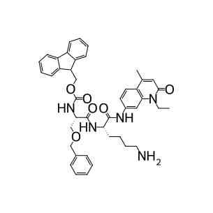 CCn1c(=O)cc(C)c2ccc(NC(=O)[C@H](CCCCN)NC(=O)[C@H](COCc3ccccc3)NC(=O)OCC3c4ccccc4-c4ccccc43)cc21